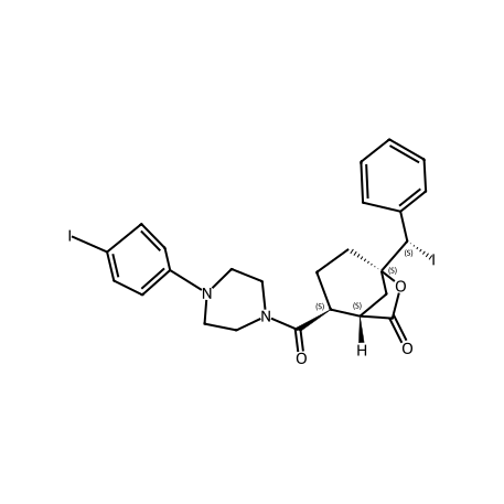 O=C1O[C@@]2([C@@H](I)c3ccccc3)CC[C@H](C(=O)N3CCN(c4ccc(I)cc4)CC3)[C@@H]1C2